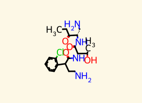 CCC(=O)[C@H](CN)NC(=O)[C@@H](NC(=O)C(CCN)c1ccccc1Cl)C(C)O